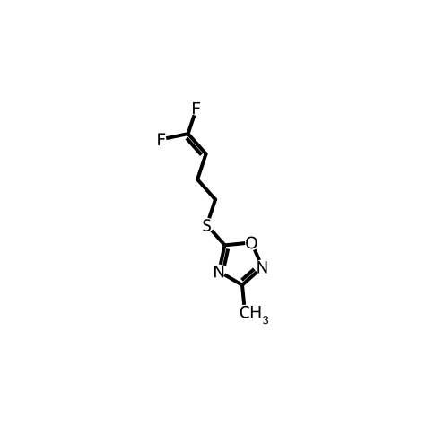 Cc1noc(SCCC=C(F)F)n1